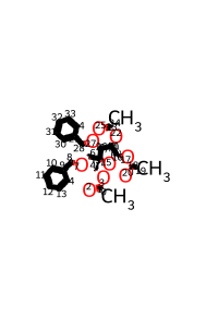 CC(=O)OC[C@]1(COCc2ccccc2)O[C@H](OC(C)=O)[C@H](OC(C)=O)[C@@H]1OCc1ccccc1